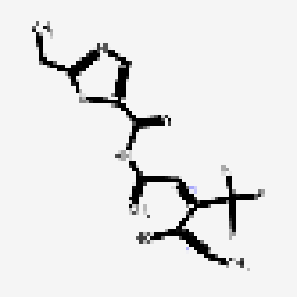 C=C(/C=C(\C(O)=C/C)C(F)(F)F)NC(=O)c1cnc(CC)s1